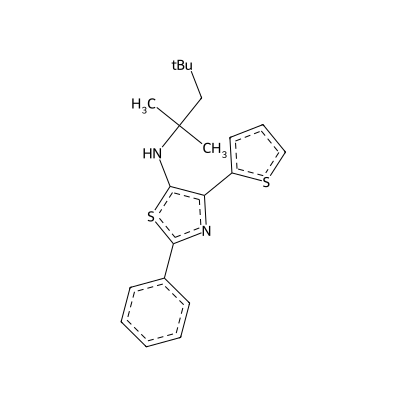 CC(C)(C)CC(C)(C)Nc1sc(-c2ccccc2)nc1-c1cccs1